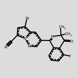 CC1(C)N=C(c2cnn3c(C#N)cc(Br)c3c2)c2cccc(F)c2C1=O